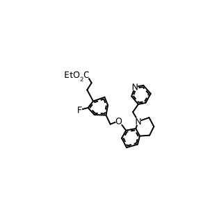 CCOC(=O)CCc1ccc(COc2cccc3c2N(Cc2cccnc2)CCC3)cc1F